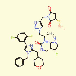 BS[C@@H]1CC(=O)N(Cc2cn(C[C@H](C)NC(=O)N(C[C@@H]3CNC[C@@H]3F)[C@@H](c3nc(-c4cc(F)ccc4F)cn3Cc3ccccc3)C3CCOCC3)nn2)C1=O